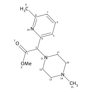 COC(=O)C(c1cccc(C)n1)N1CCN(C)CC1